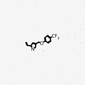 C=CC1=NCC(COc2ccc(C(F)(F)F)cc2)=C1